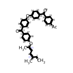 C=C/C(C)=C\C=C(/C)Oc1ccc(C(=O)c2ccc(Oc3ccc(C(=O)c4ccc(C(C)=O)cc4)cc3)cc2)cc1